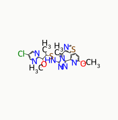 COc1cccc(-c2nnc(NSC(C)C(OC)c3ncc(Cl)cn3)n2[C@@H](C)c2cscn2)n1